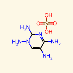 NC1=CN(N)C(N)N=C1N.O=S(=O)(O)O